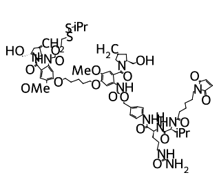 C=C1C[C@@H](CO)N(C(=O)c2cc(OC)c(OCCCCCOc3cc(NC(=O)OCc4ccc(NC(=O)[C@H](CCCNC(N)=O)NC(=O)[C@@H](NC(=O)CCCCCN5C(=O)C=CC5=O)C(C)C)cc4)c(C(=O)N4CC(=C)C[C@H]4CO)cc3OC)cc2NC(=O)OCCSSC(C)C)C1